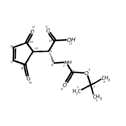 CC(C)(C)OC(=O)NC[C@@H](C(=O)O)C1C(=O)C=CC1=O